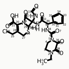 CCN1CCN(C(=O)N[C@@H](C(=O)N[C@]2(NC=O)C(=O)N3C(C(=O)O)=C(CCl)CS[C@@H]32)c2ccccc2)C(=O)C1=O